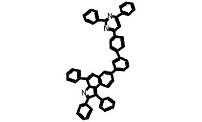 C1=C(c2ccccc2)C2N=C(c3ccccc3)C(c3ccccc3)=C2c2ccc(-c3cccc(-c4ccc(-c5cc(-c6ccccc6)nc(-c6ccccc6)n5)cc4)c3)cc21